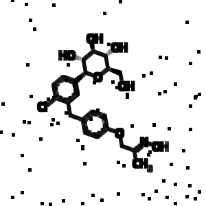 CC(COc1ccc(Cc2cc([C@@H]3O[C@H](CO)[C@@H](O)[C@H](O)[C@H]3O)ccc2Cl)cc1)=NO